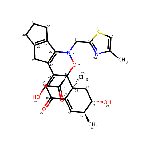 Cc1csc(CN2O[C@@]3(C(=O)CO)C(=CC(=O)C4=C[C@H](C)[C@@H](O)C[C@@]43C)C3=C2C2=C(CCC2)C3)n1